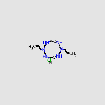 C=CCN1CNCCNCN(CC=C)CNCCNC1.Cl.[Ni]